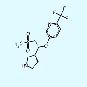 CS(=O)(=O)C[C@H](Oc1ccc(C(F)(F)F)nc1)[C@H]1CCNC1